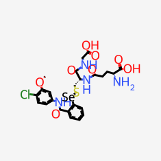 COc1cc(NC(=O)c2ccccc2[Se]SC[C@@H](NC(=O)CC[C@@H](N)C(=O)O)C(=O)NCC(=O)O)ccc1Cl